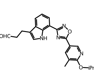 Cc1cc(-c2nc(-c3cccc4c(CCC=O)c[nH]c34)no2)cnc1OC(C)C